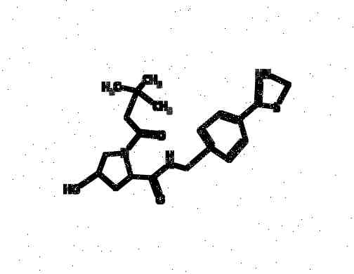 CC(C)(C)CC(=O)N1CC(O)CC1C(=O)NCc1ccc(C2=CNCS2)cc1